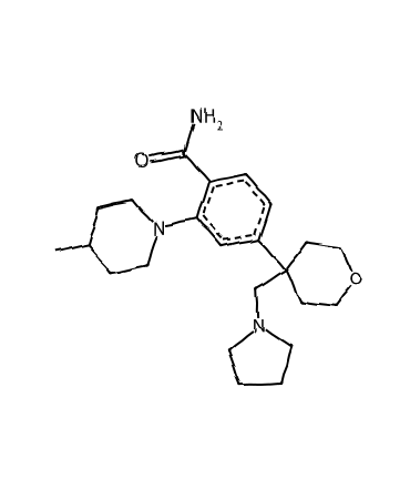 CC1CCN(c2cc(C3(CN4CCCC4)CCOCC3)ccc2C(N)=O)CC1